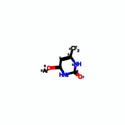 O=c1cc(C(F)(F)F)[nH]c(=O)[nH]1.[Ar]